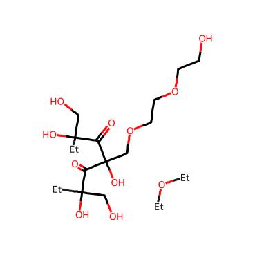 CCC(O)(CO)C(=O)C(O)(COCCOCCO)C(=O)C(O)(CC)CO.CCOCC